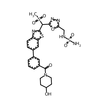 CS(=O)(=O)C(c1nnc(CNS(N)(=O)=O)o1)c1nc2ccc(-c3cccc(C(=O)N4CCC(O)CC4)c3)cc2s1